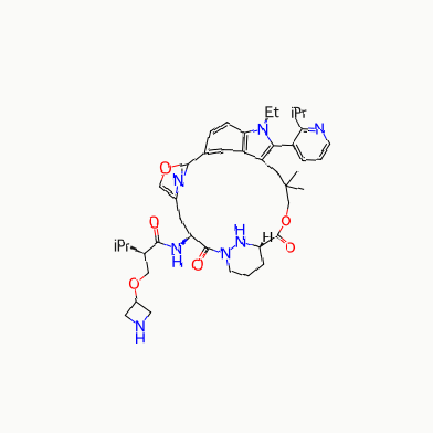 CCn1c(-c2cccnc2C(C)C)c2c3cc(ccc31)-c1nc(co1)C[C@H](NC(=O)[C@@H](COC1CNC1)C(C)C)C(=O)N1CCC[C@H](N1)C(=O)OCC(C)(C)C2